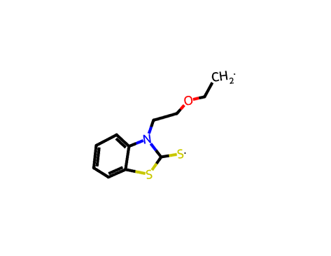 [CH2]COCCN1c2ccccc2SC1[S]